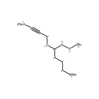 CCCC(C)C#CCOC(CCCNC)SSC(C)(C)C